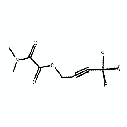 CN(C)C(=O)C(=O)OCC#CC(F)(F)F